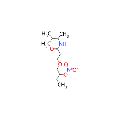 CCC(COCCC(=O)NC(C)C(C)C)O[N+](=O)[O-]